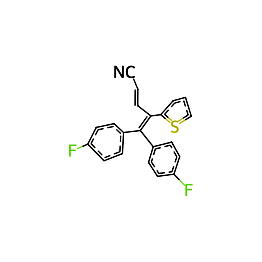 N#CC=CC(=C(c1ccc(F)cc1)c1ccc(F)cc1)c1cccs1